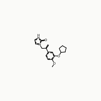 C=C(Cn1cc[nH]c1=O)c1ccc(OC)c(OC2CCCC2)c1